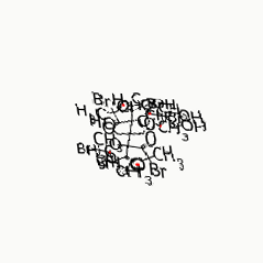 CC(C)(Br)C(=O)OC(C(=O)C(C)(C)Br)(C(=O)C(C)(C)Br)C(CO)(COCC(CO)(CO)CO)C(OC(=O)C(C)(C)Br)(C(=O)C(C)(C)Br)C(=O)C(C)(C)Br